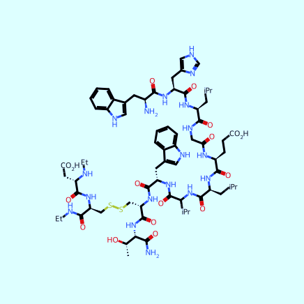 CCNC(=O)[C@H](CSSC[C@H](NC(=O)[C@H](Cc1c[nH]c2ccccc12)NC(=O)C(NC(=O)[C@H](CC(C)C)NC(=O)[C@H](CCC(=O)O)NC(=O)CNC(=O)[C@H](CC(C)C)NC(=O)[C@H](Cc1c[nH]cn1)NC(=O)[C@@H](N)Cc1c[nH]c2ccccc12)C(C)C)C(=O)N[C@H](C(N)=O)[C@H](C)O)NC(=O)[C@H](CC(=O)O)NCC